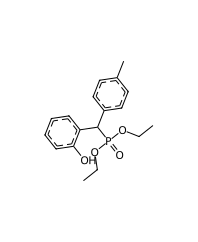 CCOP(=O)(OCC)C(c1ccc(C)cc1)c1ccccc1O